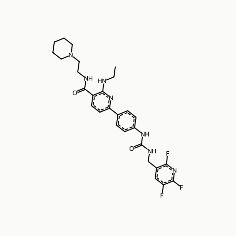 CCNc1nc(-c2ccc(NC(=O)NCc3cc(F)c(F)nc3F)cc2)ccc1C(=O)NCCN1CCCCC1